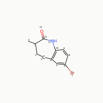 CC1CCc2cc(Br)ccc2NC1=O